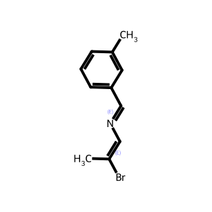 C/C(Br)=C\N=C\c1cccc(C)c1